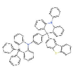 c1ccc(N2c3ccccc3C(c3ccc(N4c5ccccc5[Si](c5ccccc5)(c5ccccc5)c5ccccc54)cc3)(c3ccc4sc5ccccc5c4c3)c3ccccc32)cc1